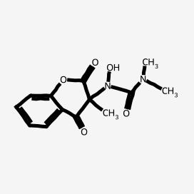 CN(C)C(=O)N(O)C1(C)C(=O)Oc2ccccc2C1=O